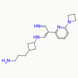 N=C/C(=C\NC1CC(CCCN)C1)c1cccc(N2CCC2)n1